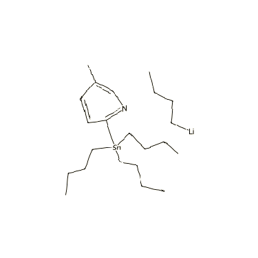 CCC[CH2][Sn]([CH2]CCC)([CH2]CCC)[c]1ccc(C)cn1.[Li][CH2]CCC